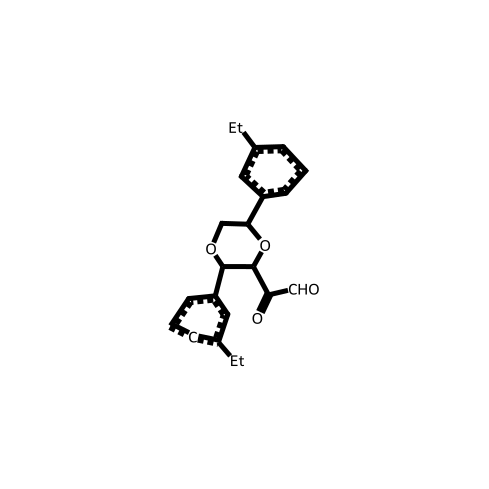 CCc1cccc(C2COC(c3cccc(CC)c3)C(C(=O)C=O)O2)c1